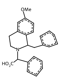 COc1ccc2c(c1)CCN(C(C(=O)O)c1ccccc1)C2Cc1ccccc1